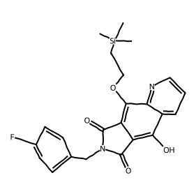 C[Si](C)(C)CCOc1c2c(c(O)c3cccnc13)C(=O)N(Cc1ccc(F)cc1)C2=O